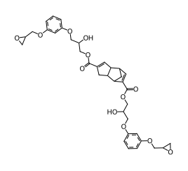 O=C(OCC(O)COc1cccc(OCC2CO2)c1)C1=CC2C3C=C(C(=O)OCC(O)COc4cccc(OCC5CO5)c4)C(C3)C2C1